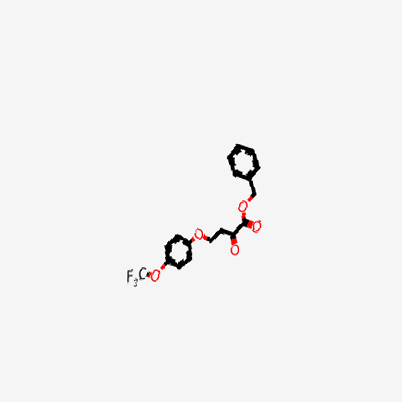 O=C(CCOc1ccc(OC(F)(F)F)cc1)C(=O)OCc1ccccc1